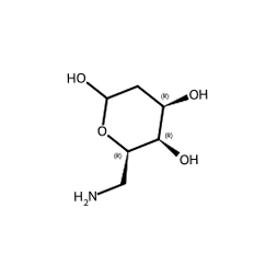 NC[C@H]1OC(O)C[C@@H](O)[C@H]1O